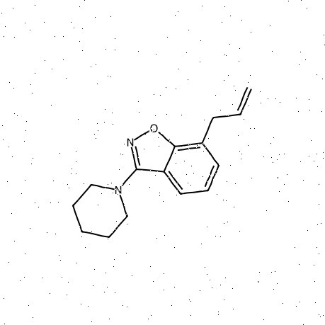 C=CCc1cccc2c(N3CCCCC3)noc12